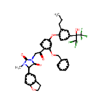 CCCc1cc(C(O)(C(F)(F)F)C(F)(F)F)ccc1Oc1ccc(C(=O)CN2C(=O)C(c3ccc4c(c3)CCO4)N(C)C2=O)c(OCc2ccccc2)c1